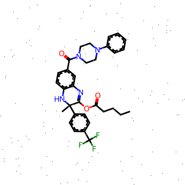 CCCCC(=O)OC1=Nc2cc(C(=O)N3CCN(c4ccccc4)CC3)ccc2NC1(C)c1ccc(C(F)(F)F)cc1